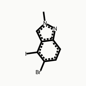 Cn1cc2c(I)c(Br)ccc2n1